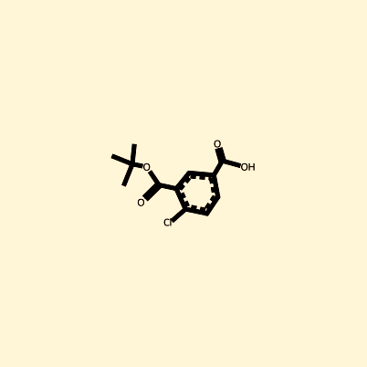 CC(C)(C)OC(=O)c1cc(C(=O)O)ccc1Cl